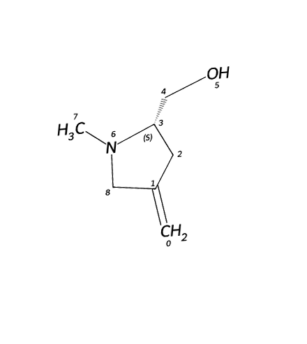 C=C1C[C@@H](CO)N(C)C1